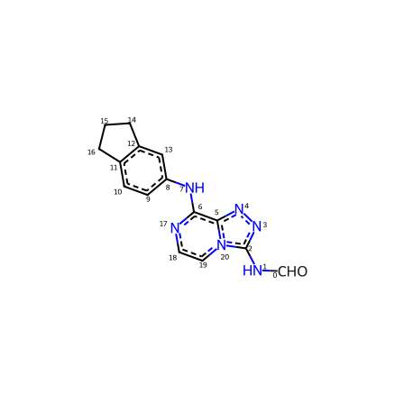 O=CNc1nnc2c(Nc3ccc4c(c3)CCC4)nccn12